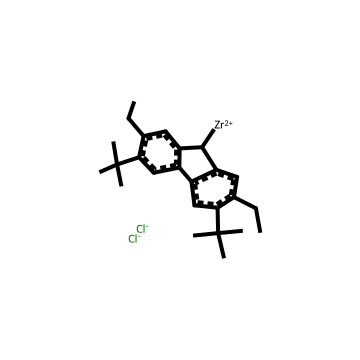 CCc1cc2c(cc1C(C)(C)C)-c1cc(C(C)(C)C)c(CC)cc1[CH]2[Zr+2].[Cl-].[Cl-]